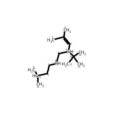 CC(C)=C[SiH](CNCC[SiH](C)C)C(C)(C)C